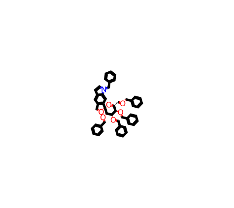 c1ccc(COC[C@H]2O[C@]3(OCc4cc5ccn(Cc6ccccc6)c5cc43)[C@H](OCc3ccccc3)[C@@H](OCc3ccccc3)[C@@H]2OCc2ccccc2)cc1